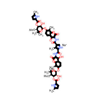 CO[C@@H]1[C@@H](OC(=O)c2ccc(C)[nH]2)[C@@H](O)[C@@H](Oc2ccc3c([O-])c(NC(=O)c4c[nH]c(C(=O)Nc5c(O)c6ccc(O[C@H]7OC(C)(C)[C@H](OC)[C@@H](OC(=O)c8ccc(C)[nH]8)[C@H]7O)c(C)c6oc5=O)c4C)c(=O)oc3c2C)OC1(C)C.[Na+]